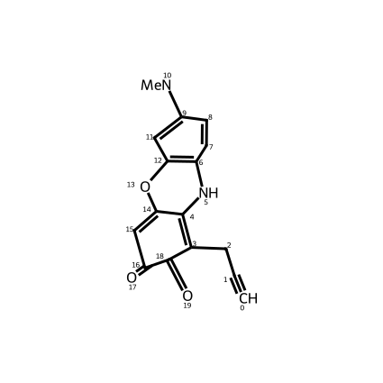 C#CCc1c2[nH]c3ccc(NC)cc3oc-2cc(=O)c1=O